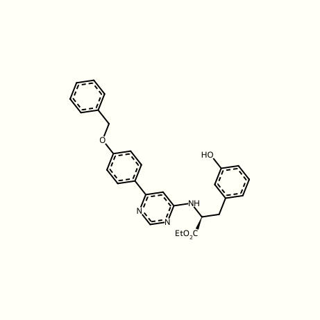 CCOC(=O)[C@H](Cc1cccc(O)c1)Nc1cc(-c2ccc(OCc3ccccc3)cc2)ncn1